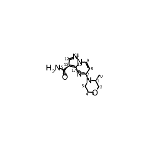 C[C@H]1COCCN1c1ccn2ncc(C(N)=O)c2n1